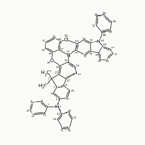 CC1(C)c2cc(N(c3ccccc3)c3ccccc3)ccc2-c2ccc3c(c21)Oc1cccc2c1B3c1cc3c4ccccc4n(-c4ccccc4)c3cc1O2